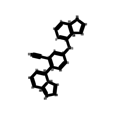 N#Cc1cc(Oc2nccc3occc23)ccc1-c1cccc2nccn12